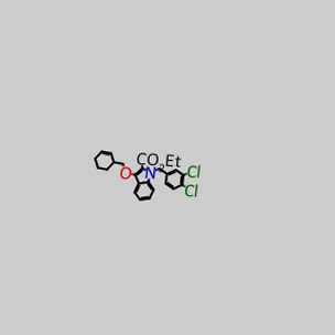 CCOC(=O)c1c(OCC2C=CCCC2)c2ccccc2n1Cc1ccc(Cl)c(Cl)c1